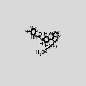 COCCNC(=O)C1CN2N=CN=C(N)C2=C1c1ccc(NC(=O)Nc2cccc(I)c2)cc1